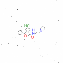 CC(C(=O)NCCCN1CCCCC1)c1ccccc1C(=O)c1ccccc1.Cl